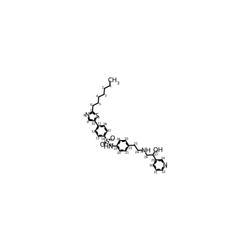 CCCCCCCc1ncc(-c2ccc(S(=O)(=O)Nc3ccc(CCNCC(O)c4cccnc4)cc3)cc2)s1